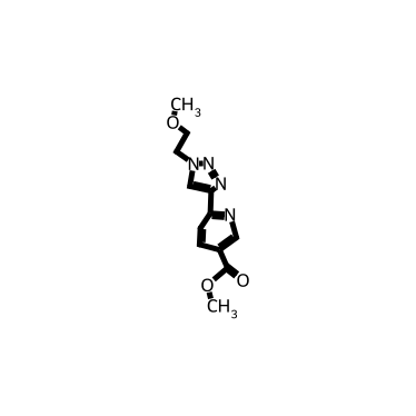 COCCn1cc(-c2ccc(C(=O)OC)cn2)nn1